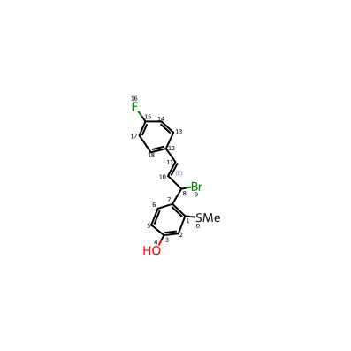 CSc1cc(O)ccc1C(Br)/C=C/c1ccc(F)cc1